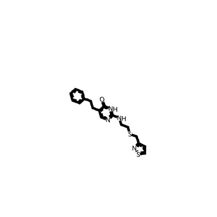 O=c1[nH]c(NCCSCc2ccsn2)ncc1CCc1ccccc1